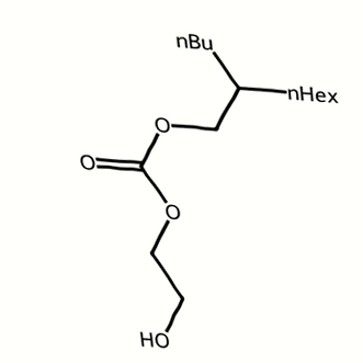 CCCCCCC(CCCC)COC(=O)OCCO